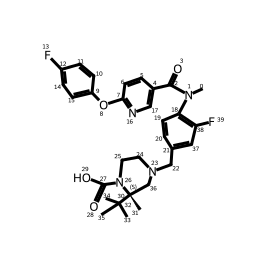 CN(C(=O)c1ccc(Oc2ccc(F)cc2)nc1)c1ccc(CN2CCN(C(=O)O)[C@@](C)(C(C)(C)C)C2)cc1F